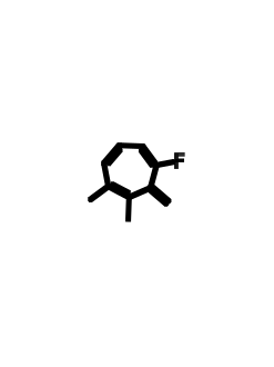 C=C1C(F)=CC=CC(C)=C1C